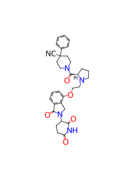 N#CC1(c2ccccc2)CCN(C(=O)[C@H]2CCCN2CCOc2cccc3c2CN(C2CCC(=O)NC2=O)C3=O)CC1